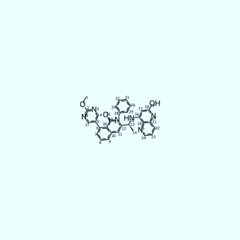 COc1ncc(-c2cccc3cc([C@H](C)Nc4cc(O)nc5cccnc45)n(-c4ccccc4)c(=O)c23)cn1